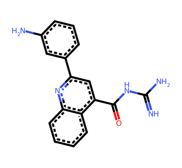 N=C(N)NC(=O)c1cc(-c2cccc(N)c2)nc2ccccc12